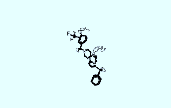 COc1ccc(C(=O)N2CCC3(CC2)c2ccc(C(=O)c4ccccc4)n2CCN3C)cc1C(F)(F)F